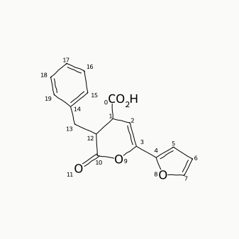 O=C(O)C1C=C(c2ccco2)OC(=O)C1Cc1ccccc1